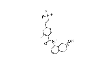 Cc1cc(C=CC(F)(F)F)ccc1C(=O)Nc1cccc2c1C[C@@H](O)CC2